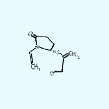 C=C(C)CCl.C=CN1CCCC1=O